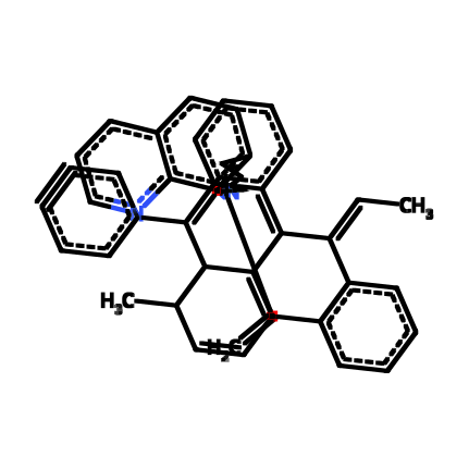 C=C(/C1=C/C=c2/ccc3cccnc3/c2=N\CC1)c1ccccc1/C(=C\C)C1=c2ccccc2=C(c2cc#ccc2)C2C1=CC=CC2C